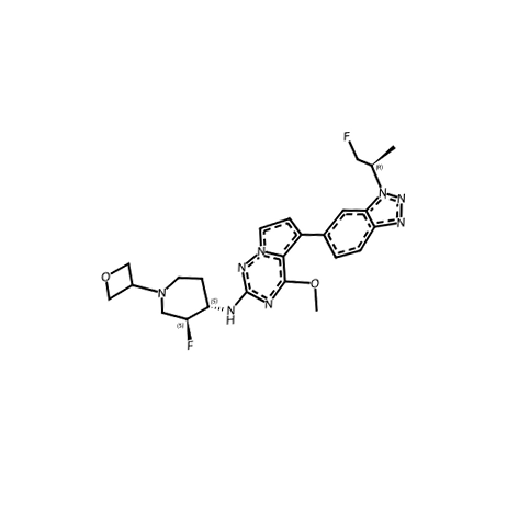 COc1nc(N[C@H]2CCN(C3COC3)C[C@@H]2F)nn2ccc(-c3ccc4nnn([C@H](C)CF)c4c3)c12